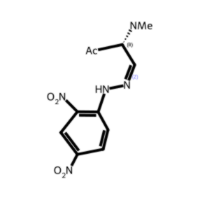 CN[C@H](/C=N\Nc1ccc([N+](=O)[O-])cc1[N+](=O)[O-])C(C)=O